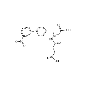 O=C(O)CCC(=O)N[C@@H](CC(=O)O)Cc1ccc(-c2cccc([N+](=O)[O-])c2)cc1